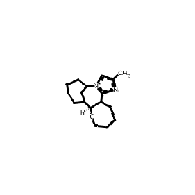 Cc1cn2c(n1)C1CCCCC[C@H]1C1CCCCC2C1